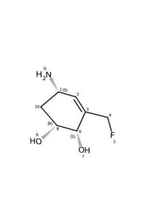 N[C@@H]1C=C(CF)[C@H](O)[C@H](O)C1